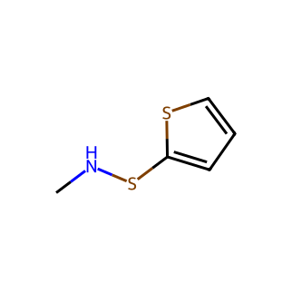 CNSc1cccs1